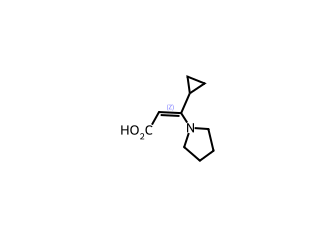 O=C(O)/C=C(/C1CC1)N1CCCC1